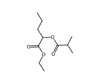 CCCC(OC(=O)C(C)C)C(=O)OCC